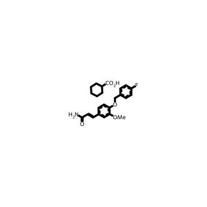 COc1cc(/C=C/C(N)=O)ccc1OCc1ccc(F)cc1.O=C(O)C1CCCCC1